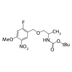 COc1cc(F)c(COCC(C)NC(=O)OC(C)(C)C)cc1[N+](=O)[O-]